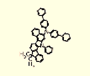 CC1(C)c2ccccc2-c2c1ccc1c3c4ccccc4c(N(c4ccc(C5=CC=CCC5)cc4)c4ccc(-c5ccccc5)cc4)cc3n(-c3ccccc3)c21